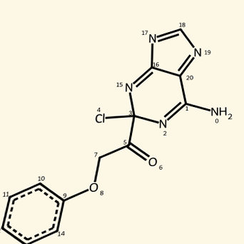 NC1=NC(Cl)(C(=O)COc2ccccc2)N=C2N=CN=C12